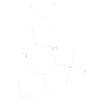 FC(F)(F)CC1=Nc2ccccc2C(C(F)(F)F)N1